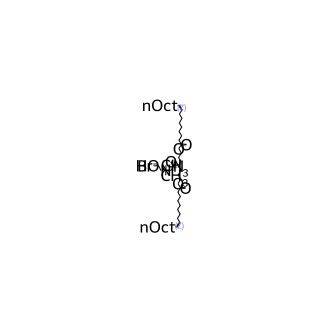 CCCCCCCC/C=C\CCCCCCCC(=O)OCCCN(CCCOC(=O)CCCCCCC/C=C\CCCCCCCC)C(=O)C[N+](C)(C)CCO.[Br-]